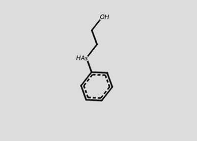 OCC[AsH]c1ccccc1